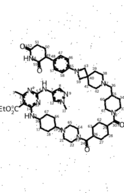 CCOC(=O)c1c(C)nc(Nc2cnn(C)c2)nc1NC1CCC(N2CCN(C(=O)C3CCC(C(=O)N4CCC(CN5CCC6(CC5)CN(c5ccc(C7CCC(=O)NC7=O)cc5)C6)CC4)CC3)CC2)CC1